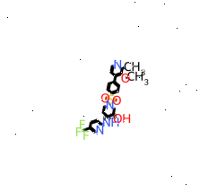 COc1c(-c2ccc(S(=O)(=O)N3CC[C@@H](Nc4ccc(C(F)(F)F)cn4)[C@@H](O)C3)cc2)ccnc1C